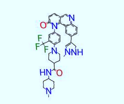 CN1CCC(NC(=O)C2CCN(c3ccc(-n4c(=O)ccc5cnc6ccc(C7=CN(C)NC7)cc6c54)cc3C(F)(F)F)CC2)CC1